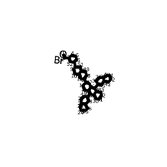 O=C(Br)c1cccc(-c2ccc3cc(-c4ccc5c(-c6ccc7ccccc7c6)c6ccccc6c(-c6ccc7ccccc7c6)c5c4)ccc3c2)c1